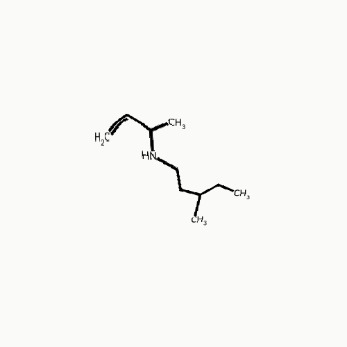 C=CC(C)NCCC(C)CC